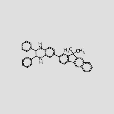 CC1(C)c2cc(-c3ccc4c(c3)NC(c3ccccc3)C(c3ccccc3)N4)ccc2-c2cc3ccccc3cc21